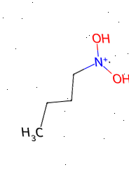 CCCC[N+](O)O